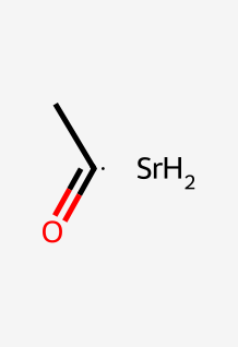 C[C]=O.[SrH2]